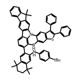 CC(C)(C)c1ccc(Nc2cc3c(cc2-c2ccc4c5cc6c(cc5n5c4c2Bc2cc4sc(-c7ccccc7)c(-c7ccccc7)c4cc2-5)C(C)(C)c2ccccc2-6)C(C)(C)CCC3(C)C)cc1